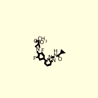 CS(=O)(=O)C1CN(Cc2c(F)cc(-c3cccc4nc(NC(=O)C5CC5)nn34)cc2F)C1